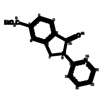 CCOC(=O)c1ccc2c(c1)CN(c1ccccn1)C2=O